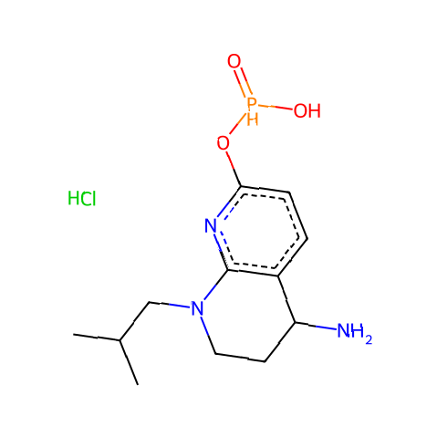 CC(C)CN1CCC(N)c2ccc(O[PH](=O)O)nc21.Cl